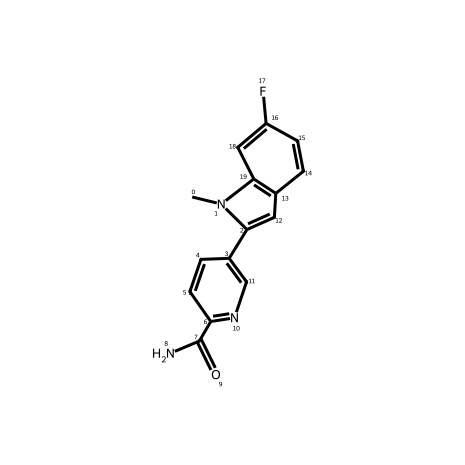 Cn1c(-c2c[c]c(C(N)=O)nc2)cc2ccc(F)cc21